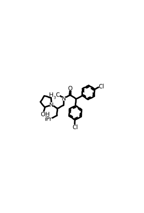 CC(C)CC(CN(C)C(=O)C(c1ccc(Cl)cc1)c1ccc(Cl)cc1)N1CCCC1O